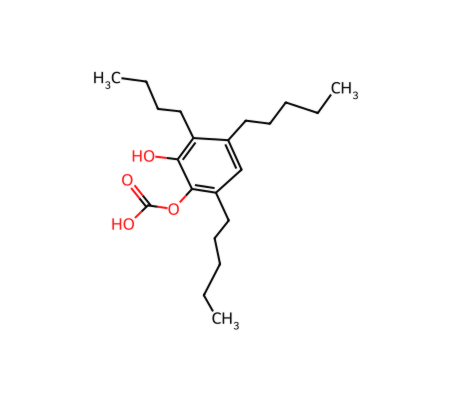 CCCCCc1cc(CCCCC)c(OC(=O)O)c(O)c1CCCC